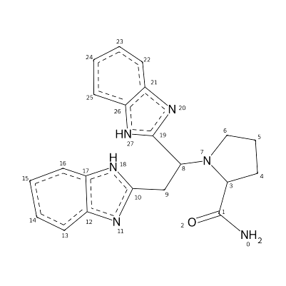 NC(=O)C1CCCN1C(Cc1nc2ccccc2[nH]1)c1nc2ccccc2[nH]1